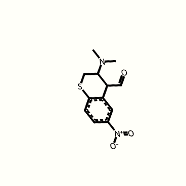 CN(C)C1CSc2ccc([N+](=O)[O-])cc2C1C=O